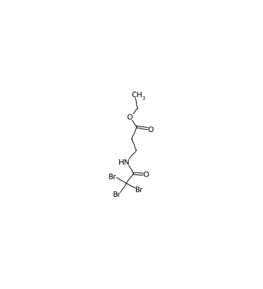 CCOC(=O)CCNC(=O)C(Br)(Br)Br